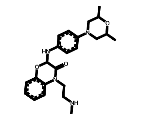 CNCCN1C(=O)C(Nc2ccc(N3CC(C)OC(C)C3)cc2)Oc2ccccc21